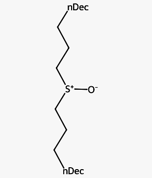 CCCCCCCCCCCCC[S+]([O-])CCCCCCCCCCCCC